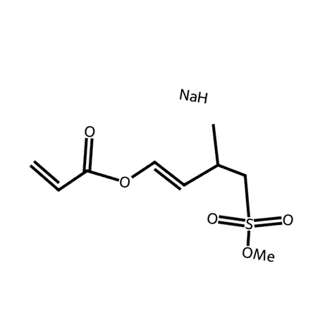 C=CC(=O)OC=CC(C)CS(=O)(=O)OC.[NaH]